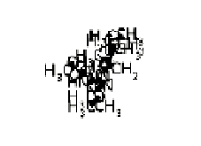 C=C1[C@H](CO[Si](C)(C)C(C)(C)C)[C@@H](C)C[C@@H]1n1cnc2c(OC(C)(C)C)nc(NC(=O)OC(C)(C)C)nc21